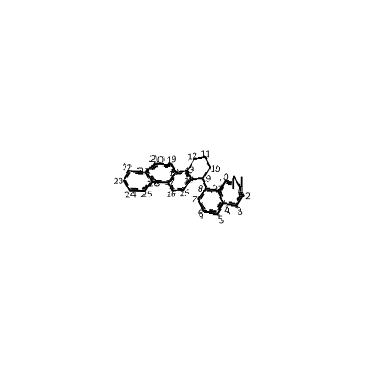 [c]1nccc2cccc(C3CCCc4c3ccc3c4ccc4ccccc43)c12